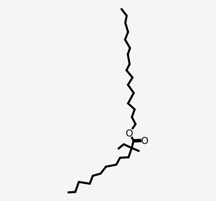 CCCCCCCCCCCCCCCCOC(=O)C(C)(CC)CCCCCCCCCC